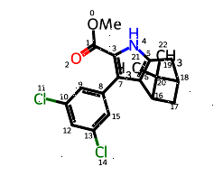 COC(=O)c1[nH]c2c(c1-c1cc(Cl)cc(Cl)c1)C1CC(C2)C1(C)C